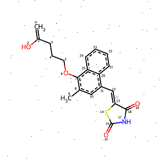 C=C(O)CCCOc1c(C)cc(/C=C2\SC(=O)NC2=O)c2ccccc12